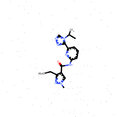 COCc1nn(C)cc1C(=O)Nc1cccc(-c2nncn2C(C)C(F)(F)F)n1